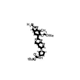 COCOc1c(-c2ncc3cc(N4CC[C@@H](NC(=O)OC(C)(C)C)C4)cnc3n2)cc2cn(C)nc2c1C